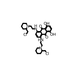 O=C1c2c(O)ccc(O)c2C(=O)c2c(NCCN3CCCCC3CCl)ccc(NCCN3CCCCC3CCl)c21